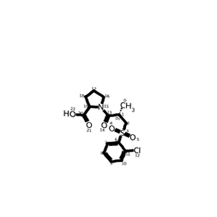 C[C@H](CS(=O)(=O)c1ccccc1Cl)C(=O)N1CCCC1C(=O)O